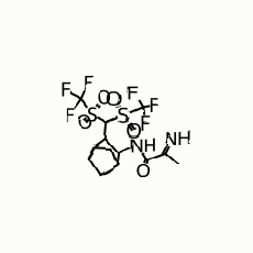 CC(=N)C(=O)NC1C2CCC(C2)C1C(S(=O)(=O)C(F)(F)F)S(=O)(=O)C(F)(F)F